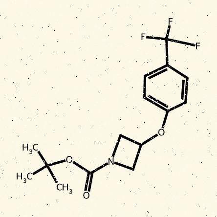 CC(C)(C)OC(=O)N1CC(Oc2ccc(C(F)(F)F)cc2)C1